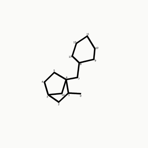 CC1CC2CCC1(CC1CCCCC1)C2